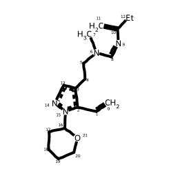 C=Cc1c(CCN(C)/C=N\C(=C)CC)cnn1C1CCCCO1